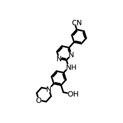 N#Cc1cccc(-c2ccnc(Nc3ccc(N4CCOCC4)c(CO)c3)n2)c1